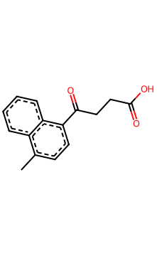 Cc1ccc(C(=O)CCC(=O)O)c2ccccc12